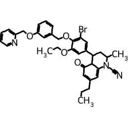 CCCC1=CC(=O)C2C(=C1)N(C#N)C(C)CC2c1cc(Br)c(OCc2cccc(OCc3ccccn3)c2)c(OCC)c1